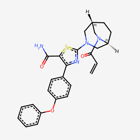 C=CC(=O)N1C[C@H]2CC[C@H]1CN(c1nc(-c3ccc(Oc4ccccc4)cc3)c(C(N)=O)s1)C2